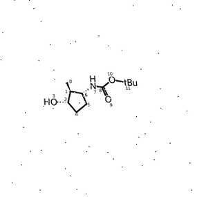 C[C@@H]1[C@@H](O)CC[C@H]1NC(=O)OC(C)(C)C